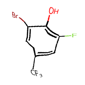 Oc1c(F)cc(C(F)(F)F)cc1Br